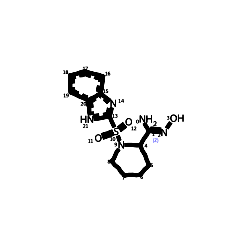 N/C(=N\O)C1CCCCN1S(=O)(=O)c1nc2ccccc2[nH]1